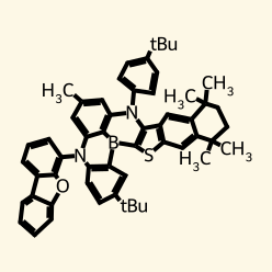 Cc1cc2c3c(c1)N(c1cccc4c1oc1ccccc14)c1ccc(C(C)(C)C)cc1B3c1sc3cc4c(cc3c1N2c1ccc(C(C)(C)C)cc1)C(C)(C)CCC4(C)C